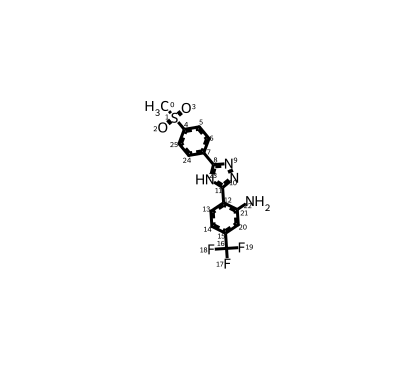 CS(=O)(=O)c1ccc(-c2nnc(-c3ccc(C(F)(F)F)cc3N)[nH]2)cc1